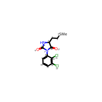 CSCCC1NC(=O)N(c2cccc(Cl)c2Cl)C1=O